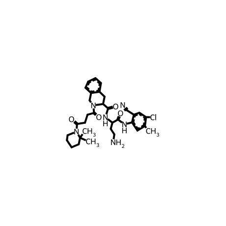 Cc1cc(NC(=O)C(CCN)NC(=O)C2Cc3ccccc3CN2C(=O)CCC(=O)N2CCCCC2(C)C)c(C#N)cc1Cl